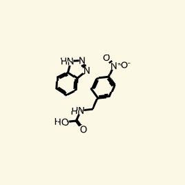 O=C(O)NCc1ccc([N+](=O)[O-])cc1.c1ccc2[nH]nnc2c1